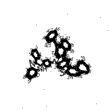 c1ccc(C2=Nc3ccccc3NC2c2ccc(-n3c4cc5sc6ccc7ccccc7c6c5cc4c4c5ccccc5c(-c5ccccc5)cc43)cc2)cc1